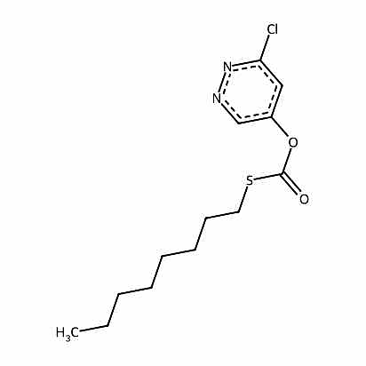 CCCCCCCCSC(=O)Oc1cnnc(Cl)c1